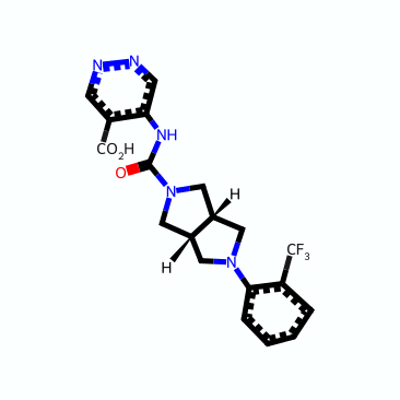 O=C(O)c1cnncc1NC(=O)N1C[C@@H]2CN(c3ccccc3C(F)(F)F)C[C@@H]2C1